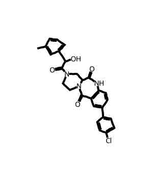 Cc1cccc(C(O)C(=O)N2CCN3C(=O)c4cc(-c5ccc(Cl)cc5)ccc4NC(=O)C3C2)c1